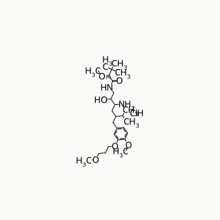 COCCCOc1cc(CC(CC(N)C(O)CNC(=O)[C@H](OC)C(C)(C)C)C(C)C)ccc1OC.Cl